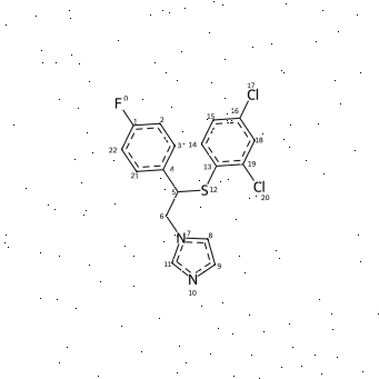 Fc1ccc(C(Cn2ccnc2)Sc2ccc(Cl)cc2Cl)cc1